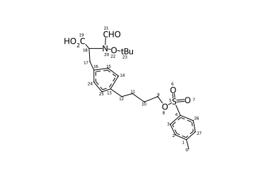 Cc1ccc(S(=O)(=O)OCCCCc2ccc(CC(C(=O)O)N(C=O)OC(C)(C)C)cc2)cc1